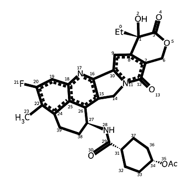 CC[C@@]1(O)C(=O)OCc2c1cc1n(c2=O)Cc2c-1nc1cc(F)c(C)c3c1c2[C@@H](NC(=O)[C@H]1CC[C@@H](OC(C)=O)CC1)CC3